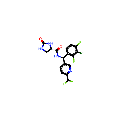 O=C1NC[C@@H](C(=O)N[C@H](c2ccc(C(F)F)nc2)c2ccc(F)c(Cl)c2F)N1